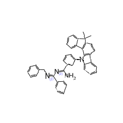 CC1(C)c2ccccc2-c2c1ccc1c3ccccc3n(-c3cccc(/C(N)=N/C(=N\Cc4ccccc4)c4ccccc4)c3)c21